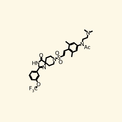 CC(=O)N(CCN(C)C)c1cc(C)c(C=CS(=O)(=O)N2CCC3(CC2)N=C(c2cccc(OC(F)(F)F)c2)NC3=O)c(C)c1